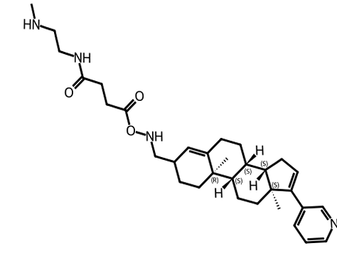 CNCCNC(=O)CCC(=O)ONCC1C=C2CC[C@H]3[C@H](CC[C@]4(C)C(c5cccnc5)=CC[C@@H]34)[C@@]2(C)CC1